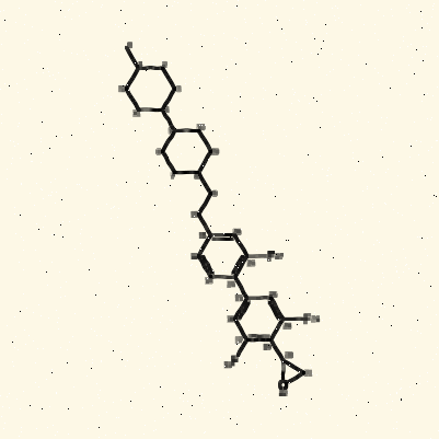 CC1CCC(C2CCC(CCc3ccc(-c4cc(F)c(C5CO5)c(F)c4)c(F)c3)CC2)CC1